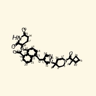 CC1(C(=O)N2CCC(C)(n3cc(Cc4ccc5c6c(cccc46)C(=O)N5C4CCC(=O)NC4=O)cn3)CC2)CCC1